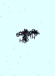 COc1ccc(Cn2nc(N[C@@H]3CCCN(C(=O)O)C3)c3c(O[C@H]4CC[C@H](C(=O)Nc5ncc(C)s5)CC4)ccnc32)cc1